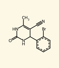 CC1=C(C#N)C(c2ccccc2Br)NC(=O)N1